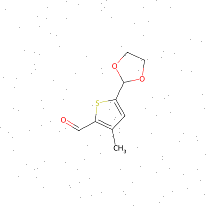 Cc1cc(C2OCCO2)sc1C=O